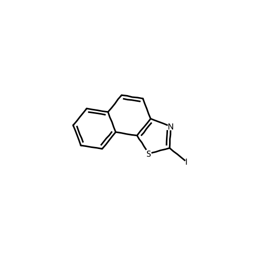 Ic1nc2ccc3ccccc3c2s1